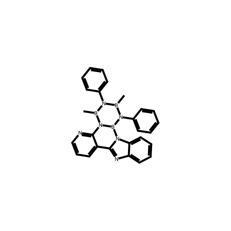 CB1N(c2ccccc2)B(C)N2B(N1c1ccccc1)n1c(nc3ccccc31)-c1cccnc12